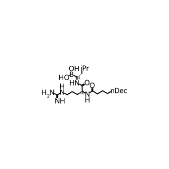 CCCCCCCCCCCCCC(=O)N[C@@H](CCCNC(=N)N)C(=O)N[C@@H](CC(C)C)B(O)O